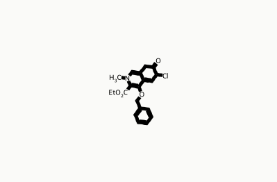 CCOC(=O)C1=C(OCc2ccccc2)C2=CC(Cl)C(=O)CC2=CN1C